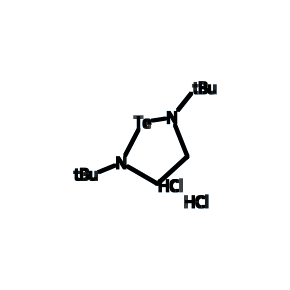 CC(C)(C)N1CCN(C(C)(C)C)[Te]1.Cl.Cl